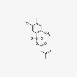 CC(=O)CC(=O)OS(=O)(=O)c1cc(Cl)c(C)cc1N